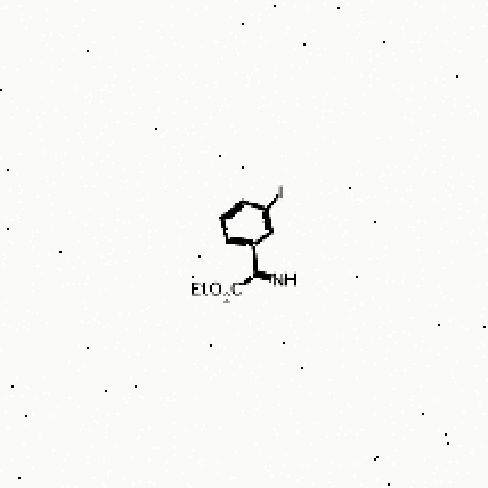 CCOC(=O)C(=N)c1cccc(I)c1